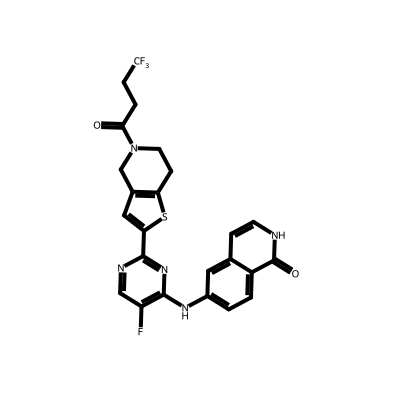 O=C(CCC(F)(F)F)N1CCc2sc(-c3ncc(F)c(Nc4ccc5c(=O)[nH]ccc5c4)n3)cc2C1